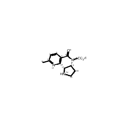 Cc1ccc(C(=O)N(C(=O)O)[C@@H]2CCNC2)cn1